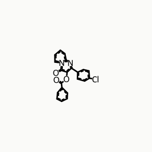 O=C(Oc1c(-c2ccc(Cl)cc2)nc2ccccn2c1=O)c1ccccc1